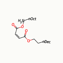 CCCCCCCCCCCCOC(=O)/C=C\C(=O)O[SiH2]CCCCCCCC